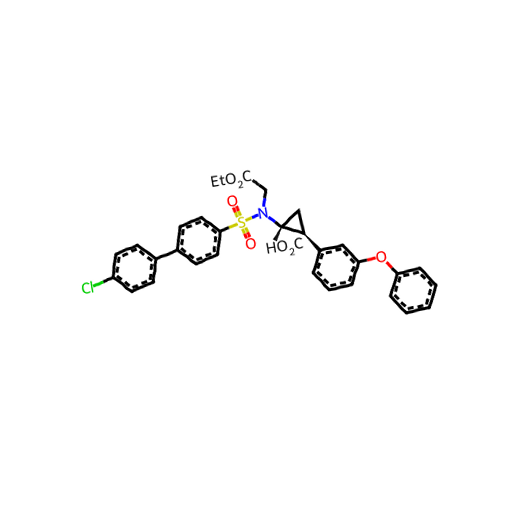 CCOC(=O)CN([C@]1(C(=O)O)C[C@H]1c1cccc(Oc2ccccc2)c1)S(=O)(=O)c1ccc(-c2ccc(Cl)cc2)cc1